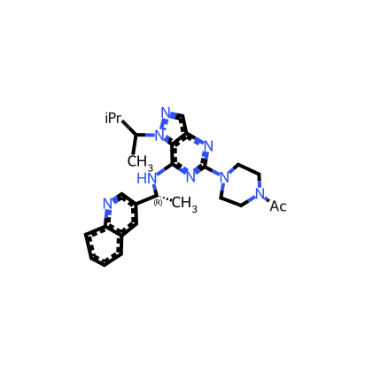 CC(=O)N1CCN(c2nc(N[C@H](C)c3cnc4ccccc4c3)c3c(cnn3C(C)C(C)C)n2)CC1